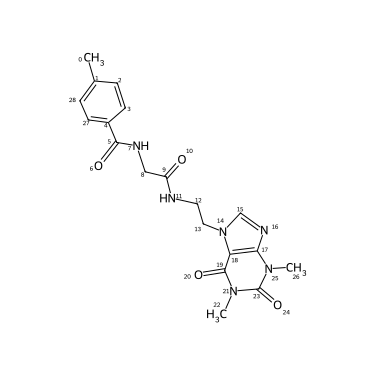 Cc1ccc(C(=O)NCC(=O)NCCn2cnc3c2c(=O)n(C)c(=O)n3C)cc1